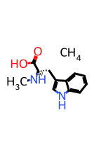 C.CN[C@@H](Cc1c[nH]c2ccccc12)C(=O)O